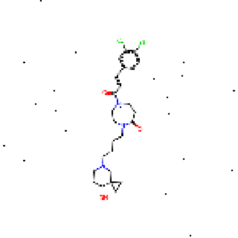 O=C(/C=C/c1ccc(Cl)c(Cl)c1)N1CCC(=O)N(CCCCN2CCC(O)C3(CC3)C2)CC1